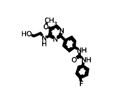 COc1cnc(-c2ccc(NC(=O)Nc3ccc(F)cc3)cc2)nc1NCCO